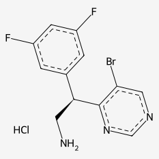 Cl.NC[C@@H](c1cc(F)cc(F)c1)c1ncncc1Br